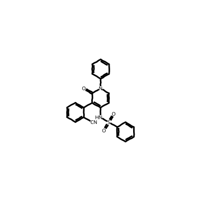 N#Cc1ccccc1-c1c(NS(=O)(=O)c2ccccc2)ccn(-c2ccccc2)c1=O